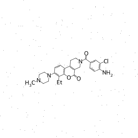 CCc1c(N2CCN(C)CC2)ccc2c3c(c(=O)oc12)CN(C(=O)c1ccc(N)c(Cl)c1)CC3